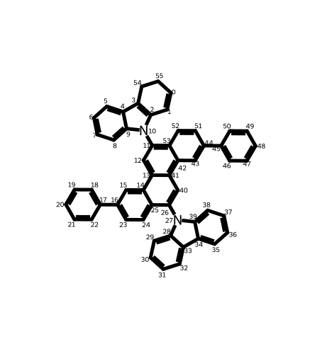 C1=Cc2c(c3ccccc3n2-c2cc3c4cc(-c5ccccc5)ccc4c(-n4c5ccccc5c5ccccc54)cc3c3cc(-c4ccccc4)ccc23)CC1